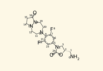 NC[C@H]1CN(c2cc(F)c(N3CCN4CCC(=O)N4CC3)c(F)c2)C(=O)O1